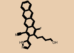 N#Cc1c(-c2ccn[nH]2)c(CCCCO)c(F)c2cc3cc4ccccc4cc3cc12